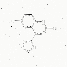 CCCCCc1ccc2nc(NC(C)=O)nc(-c3nc[nH]n3)c2n1